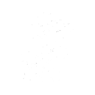 c1ccc(N2c3cc4c(cc3Oc3cc5c(cc32)-c2c(ccc3ccccc23)C5(c2ccccc2)c2ccccc2)C(c2ccccc2)(c2ccccc2)c2ccc3ccccc3c2-4)cc1